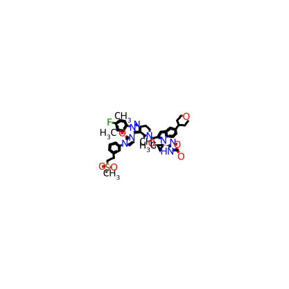 Cc1cc(-n2nc3c(c2-n2ccn(-c4cccc(CCS(C)(=O)=O)c4)c2=O)C(C)N(C(=O)c2cc4cc(C5CCOCC5)ccc4n2[C@@]2(c4noc(=O)[nH]4)C[C@@H]2C)CC3)cc(C)c1F